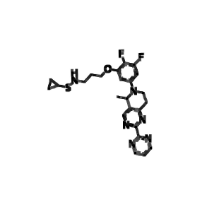 CC1c2cnc(-c3ncccn3)nc2CCN1c1cc(F)c(F)c(OCCCNSC2CC2)c1